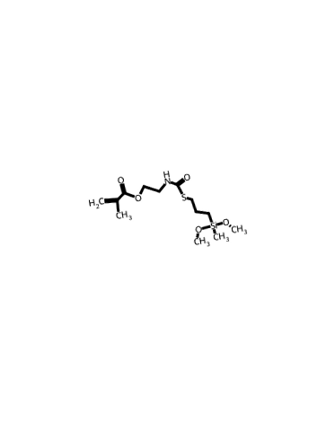 C=C(C)C(=O)OCCNC(=O)SCCC[Si](C)(OC)OC